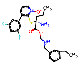 CCC[C@](N)(Sc1c(-c2cc(F)cc(F)c2)ccc[n+]1[O-])C(=O)OCNCc1cccc(CC)c1